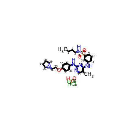 CCCCNS(=O)(=O)c1cccc(Nc2nc(Nc3ccc(OCCN4CCCC4)cc3)ncc2C)c1.Cl.Cl.O